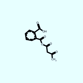 CC(=O)CC(=O)OC(=O)c1ccccc1C(=O)O